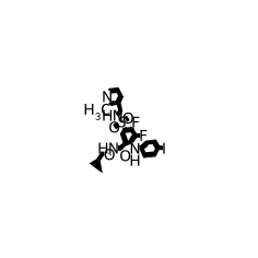 Cc1ncccc1CNS(=O)(=O)c1cc(C(=O)NOCC2CC2)c(Nc2ccc(I)cc2)c(F)c1F